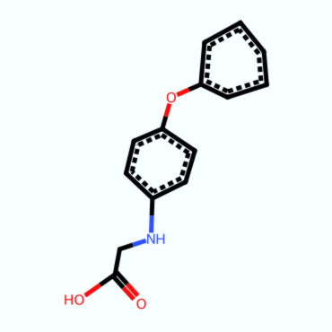 O=C(O)CNc1ccc(Oc2ccccc2)cc1